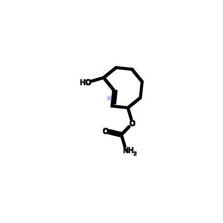 NC(=O)OC1/C=C/C(O)CCCC1